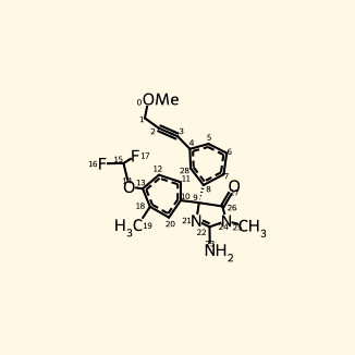 COCC#Cc1cccc([C@@]2(c3ccc(OC(F)F)c(C)c3)N=C(N)N(C)C2=O)c1